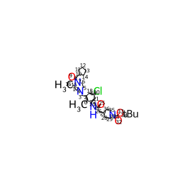 Cc1c(CN2CCN(C(=O)C3CCCC3)C(C)C2)cc(Cl)cc1NC(=O)CC1CCN(C(=O)OC(C)(C)C)CC1